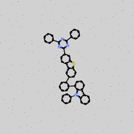 c1ccc(-c2nc(-c3ccccc3)nc(-c3ccc4c(c3)sc3ccc(-c5ccccc5-c5cccc6c7ccccc7n(-c7ccccc7)c56)cc34)n2)cc1